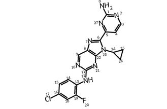 Nc1nccc(-c2nc3cnc(Nc4ccc(Cl)cc4F)nc3n2C2CC2)n1